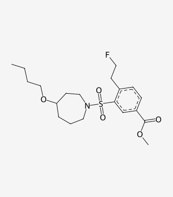 CCCCOC1CCCN(S(=O)(=O)c2cc(C(=O)OC)ccc2CCF)CC1